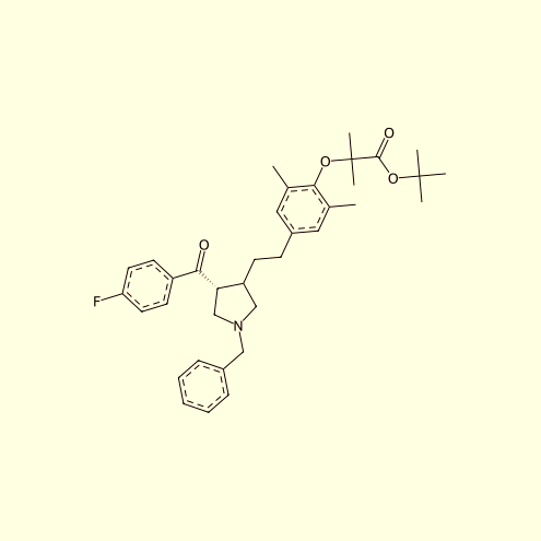 Cc1cc(CCC2CN(Cc3ccccc3)C[C@@H]2C(=O)c2ccc(F)cc2)cc(C)c1OC(C)(C)C(=O)OC(C)(C)C